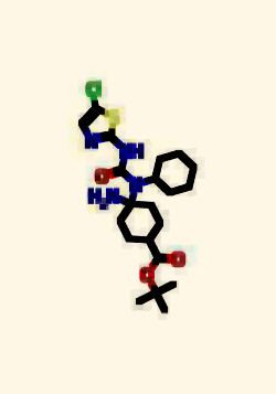 CC(C)(C)OC(=O)C1CCC(N)(N(C(=O)Nc2ncc(Cl)s2)C2CCCCC2)CC1